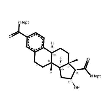 CCCCCCCC(=O)c1ccc2c(c1)CC[C@@H]1[C@@H]2CC[C@@]2(C)[C@H]1C[C@@H](O)[C@@H]2C(=O)CCCCCCC